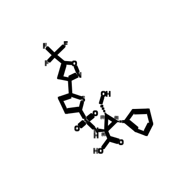 O=C(O)[C@]1(NS(=O)(=O)c2ccc(-c3cc(C(F)(F)F)on3)s2)[C@H](CO)[C@@H]1c1ccccc1